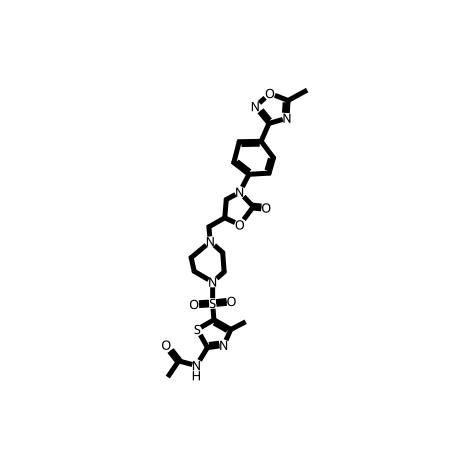 CC(=O)Nc1nc(C)c(S(=O)(=O)N2CCN(CC3CN(c4ccc(-c5noc(C)n5)cc4)C(=O)O3)CC2)s1